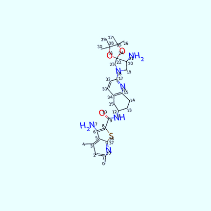 Cc1cc(C)c2c(N)c(C(=O)NC3CCc4nc(N5CC(N)C6(C5)OC(C)(C)C(C)(C)O6)ccc4C3)sc2n1